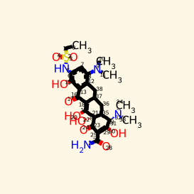 CCS(=O)(=O)Nc1cc(N(C)C)c2c(c1O)C(=O)C1=C(O)[C@]3(O)C(=O)C(C(N)=O)=C(O)[C@@H](N(C)C)C3CC1C2